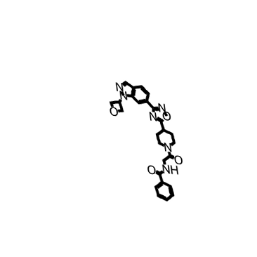 O=C(NCC(=O)N1CCC(c2nc(-c3ccc4cnn(C5COC5)c4c3)no2)CC1)c1ccccc1